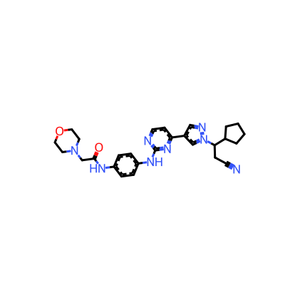 N#CCC(C1CCCC1)n1cc(-c2ccnc(Nc3ccc(NC(=O)CN4CCOCC4)cc3)n2)cn1